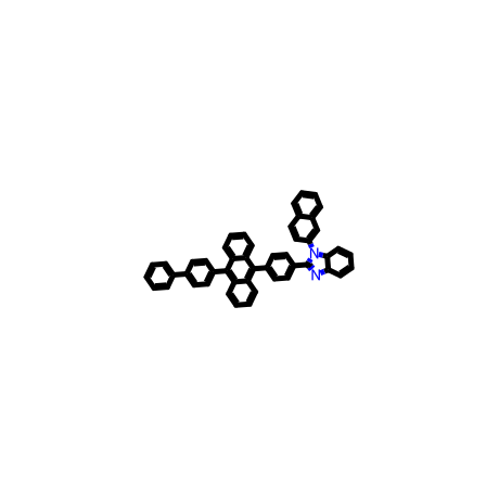 C1=CC2N=C(c3ccc(-c4c5ccccc5c(-c5ccc(-c6ccccc6)cc5)c5ccccc45)cc3)N(c3ccc4ccccc4c3)C2C=C1